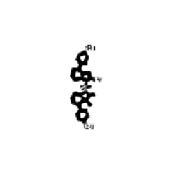 CC1=C(C)C([Si](C)(C)C2C(C(C)C)=Cc3c(-c4ccc(C(C)(C)C)cc4)cccc32)c2cccc(-c3ccc(C(C)(C)C)cc3)c21